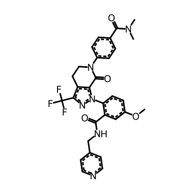 COc1ccc(-n2nc(C(F)(F)F)c3c2C(=O)N(c2ccc(C(=O)N(C)C)cc2)CC3)c(C(=O)NCc2ccncc2)c1